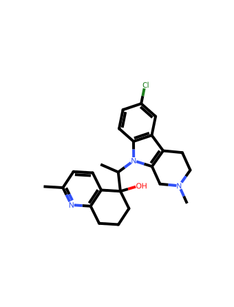 Cc1ccc2c(n1)CCCC2(O)C(C)n1c2c(c3cc(Cl)ccc31)CCN(C)C2